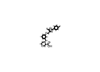 Cc1ccc(-c2nc(COc3cccc(CN4CCOC[C@H]4C(=O)O)c3)c(C)o2)cc1